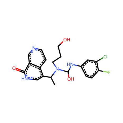 CC(c1c[nH]c(=O)c2cnccc12)N(CCCO)C(O)Nc1ccc(F)c(Cl)c1